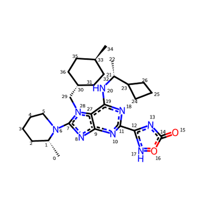 C[C@@H]1CCCCN1c1nc2nc(-c3nc(=O)o[nH]3)nc(N[C@H](C)C3CCC3)c2n1C[C@H]1CC[C@H](C)CC1